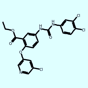 CCOC(=O)c1cc(NC(=O)Nc2ccc(Cl)c(Cl)c2)ccc1Oc1cncc(Cl)c1